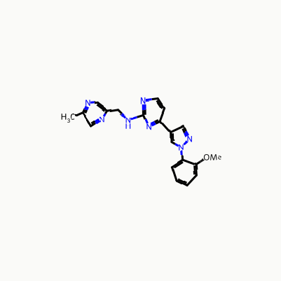 COc1ccccc1-n1cc(-c2ccnc(NCc3cnc(C)cn3)n2)cn1